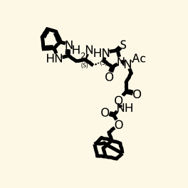 CC(=O)N(CCC(=O)ONC(=O)OCC12CC3CC(CC(C3)C1)C2)N1C(=O)[C@H](C[C@H](N)Cc2nc3ccccc3[nH]2)NC1=S